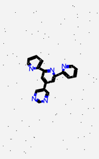 c1ccc(-c2cc(-c3cncnc3)cc(-c3ccccn3)n2)nc1